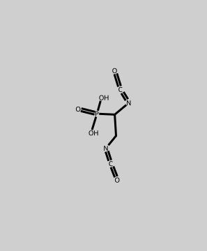 O=C=NCC(N=C=O)P(=O)(O)O